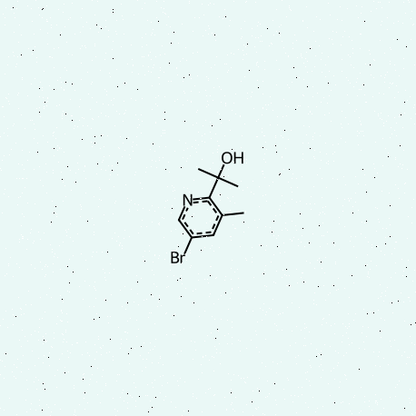 Cc1cc(Br)cnc1C(C)(C)O